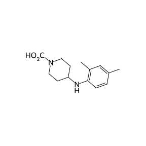 Cc1ccc(NC2CCN(C(=O)O)CC2)c(C)c1